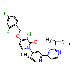 Cc1cc(OCc2ccc(F)cc2F)c(Cl)c(=O)n1-c1ccnc(-c2ccnc(C(C)C)n2)c1